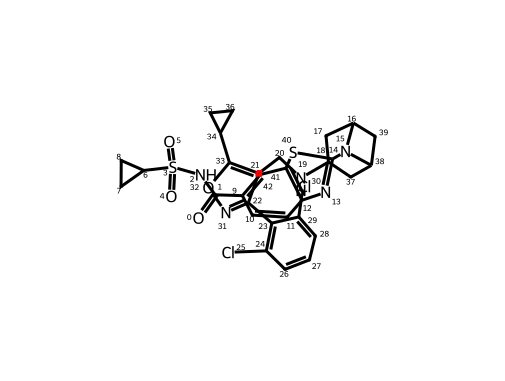 O=C(NS(=O)(=O)C1CC1)c1ccc2nc(N3C4CC(NCc5c(-c6c(Cl)cccc6Cl)noc5C5CC5)CC3C4)sc2c1